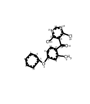 Cc1cc(Oc2ccccc2)ccc1C(=O)c1c(Cl)ncnc1Cl